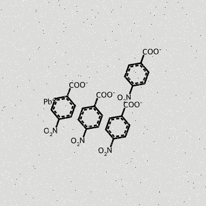 O=C([O-])c1ccc([N+](=O)[O-])cc1.O=C([O-])c1ccc([N+](=O)[O-])cc1.O=C([O-])c1ccc([N+](=O)[O-])cc1.O=C([O-])c1ccc([N+](=O)[O-])cc1.[Pb+4]